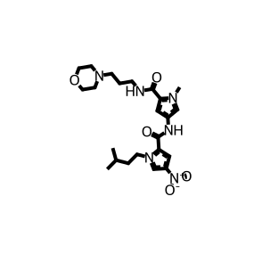 CC(C)CCn1cc([N+](=O)[O-])cc1C(=O)Nc1cc(C(=O)NCCCN2CCOCC2)n(C)c1